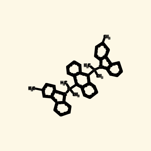 Cc1ccc2c(c1)c1ccccc1n2[Si](C)(C)c1c2ccccc2c([Si](C)(C)n2c3ccccc3c3cc(C)ccc32)c2ccccc12